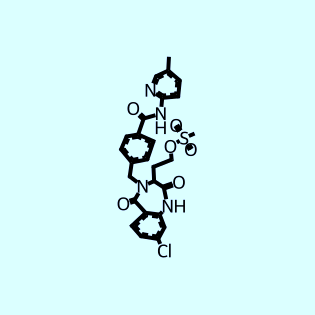 Cc1ccc(NC(=O)c2ccc(CN3C(=O)c4ccc(Cl)cc4NC(=O)C3CCOS(C)(=O)=O)cc2)nc1